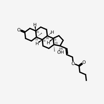 CCCC(=O)OCC=C[C@]1(O)CC[C@H]2[C@@H]3CC[C@H]4CC(=O)CC[C@]4(C)[C@H]3CC[C@@]21C